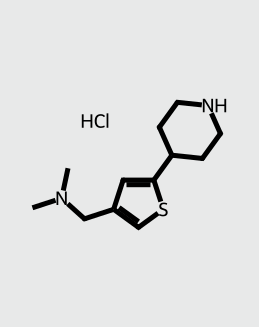 CN(C)Cc1csc(C2CCNCC2)c1.Cl